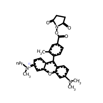 CCC/[N+](C)=c1\ccc2c(-c3ccc(C(=O)ON4C(=O)CCC4=O)cc3C)c3ccc(N(C)C)cc3oc-2c1